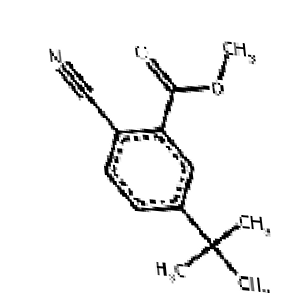 COC(=O)c1cc(C(C)(C)C)ccc1C#N